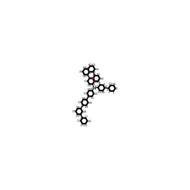 c1ccc(-c2ccc(N(c3ccc(-c4ccc(-c5cccc(-c6ccccc6)c5)cc4)cc3)c3ccc(-c4cccc5cccc(-c6ccccc6)c45)cc3)cc2)cc1